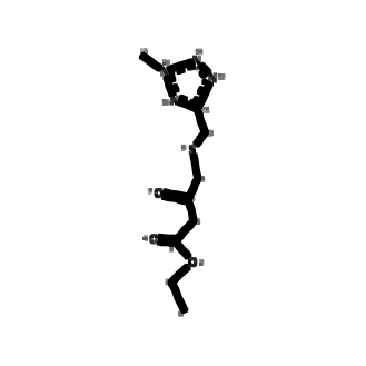 CCOC(=O)CC(=O)CSCc1nnn(C)n1